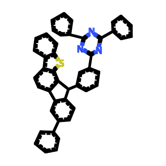 c1ccc(-c2ccc3c(c2)-c2ccc4c(sc5ccccc54)c2C3c2cccc(-c3nc(-c4ccccc4)nc(-c4ccccc4)n3)c2)cc1